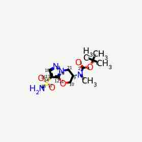 CN(C(=O)OC(C)(C)C)[C@@H]1COc2c(S(N)(=O)=O)cnn2C1